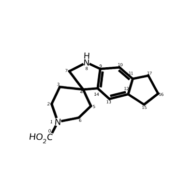 O=C(O)N1CCC2(CC1)CNc1cc3c(cc12)CCC3